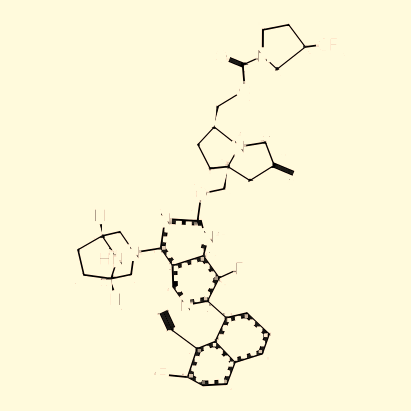 C#Cc1c(F)ccc2cccc(-c3ncc4c(N5C[C@H]6CC[C@@H](C5)N6)nc(OC[C@@]56CC[C@@H](COC(=O)N7CCC(C(F)(F)F)C7)N5CC(=C)C6)nc4c3F)c12